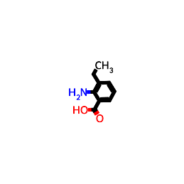 CCc1cccc(C(=O)O)c1N